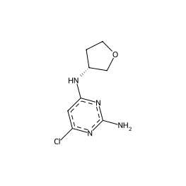 Nc1nc(Cl)cc(N[C@@H]2CCOC2)n1